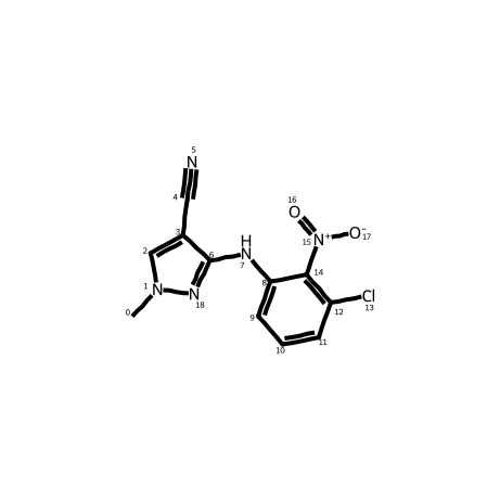 Cn1cc(C#N)c(Nc2cccc(Cl)c2[N+](=O)[O-])n1